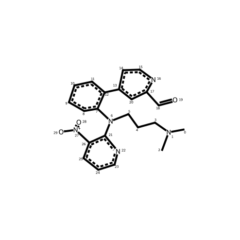 CN(C)CCCN(c1ccccc1-c1ccnc(C=O)c1)c1ncccc1[N+](=O)[O-]